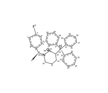 C[C@@H](c1ccc(F)cc1)N1CCCC([PH](c2ccccc2)(c2ccccc2)c2ccccc2)C1=O